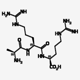 C[C@H](N)C(=O)N[C@@H](CCCNC(=N)N)C(=O)N[C@@H](CCCNC(=N)N)C(=O)O